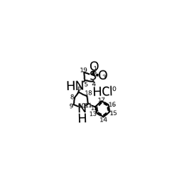 Cl.O=S1(=O)CC(N[C@@H]2CCN[C@H](c3ccccc3)C2)C1